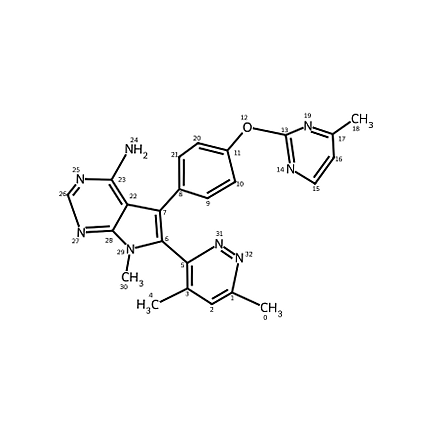 Cc1cc(C)c(-c2c(-c3ccc(Oc4nccc(C)n4)cc3)c3c(N)ncnc3n2C)nn1